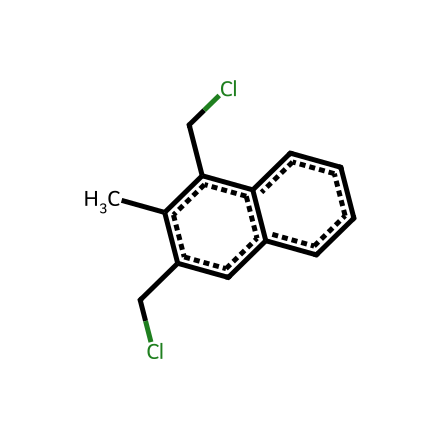 Cc1c(CCl)cc2ccccc2c1CCl